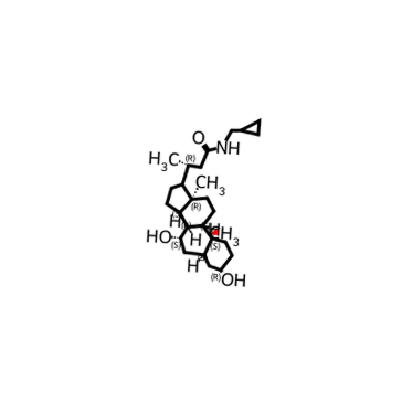 C[C@H](CC(=O)NCC1CC1)C1CC[C@H]2[C@@H]3[C@@H](O)C[C@@H]4C[C@H](O)CC[C@]4(C)[C@H]3CC[C@]12C